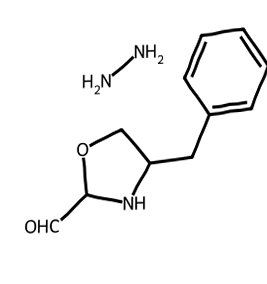 NN.O=CC1NC(Cc2ccccc2)CO1